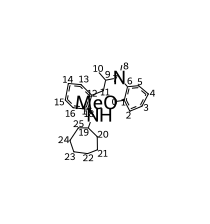 COc1ccccc1N(C)C(C)Cc1ccccc1NC1CCCCCC1